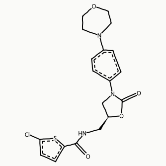 O=C(NC[C@H]1CN(c2ccc(N3CCOCC3)cc2)C(=O)O1)c1ccc(Cl)s1